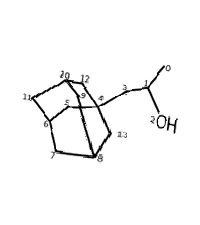 CC(O)[CH]C12CC3CC(CC(C3)C1)C2